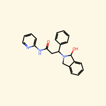 O=C(CC(c1ccccc1)N1Cc2ccccc2C1O)Nc1ccccn1